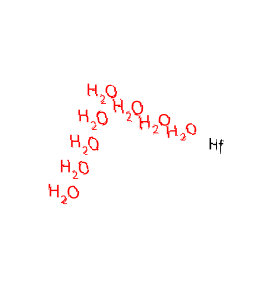 O.O.O.O.O.O.O.O.[Hf]